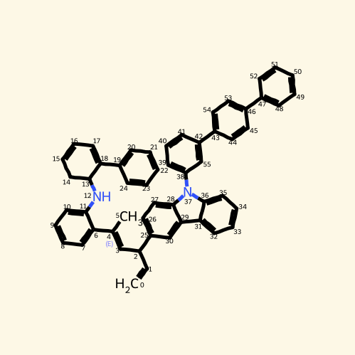 C=CC(/C=C(\C)c1ccccc1NC1CC=CC=C1c1ccccc1)c1ccc2c(c1)c1ccccc1n2-c1cccc(-c2ccc(-c3ccccc3)cc2)c1